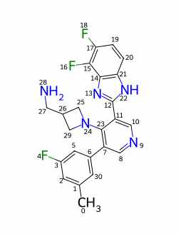 Cc1cc(F)cc(-c2cncc(-c3nc4c(F)c(F)ccc4[nH]3)c2N2CC(CN)C2)c1